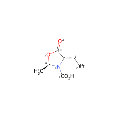 CC(C)C[C@H]1C(=O)O[C@H](C)N1C(=O)O